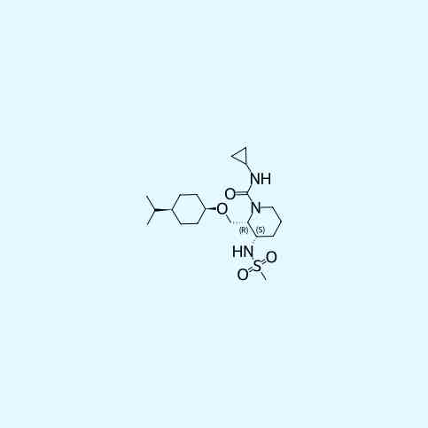 CC(C)[C@H]1CC[C@@H](OC[C@H]2[C@@H](NS(C)(=O)=O)CCCN2C(=O)NC2CC2)CC1